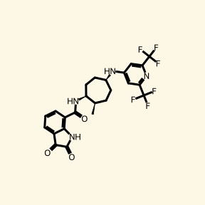 C[C@@H]1CC[C@H](Nc2cc(C(F)(F)F)nc(C(F)(F)F)c2)CC[C@@H]1NC(=O)c1cccc2c1NC(=O)C2=O